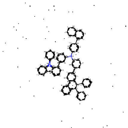 c1ccc(-c2c(-c3ccccc3)c3cc(-c4cccc(N(c5ccc(-c6cccc7ccccc67)cc5)c5cccc(-c6cccc7c8ccccc8n(-c8ccccc8)c67)c5)c4)ccc3c3ccccc23)cc1